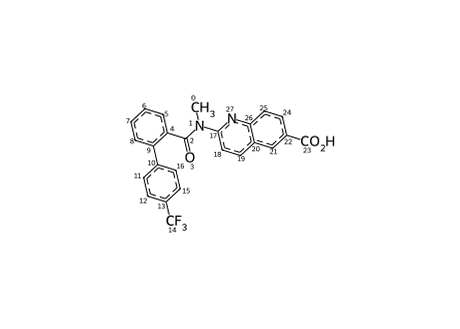 CN(C(=O)c1ccccc1-c1ccc(C(F)(F)F)cc1)c1ccc2cc(C(=O)O)ccc2n1